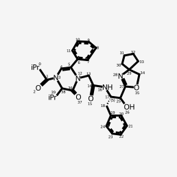 CC(C)C(=O)N1C=C(c2ccccc2)N(CC(=O)N[C@@H](Cc2ccccc2)C(O)C2=NC3(CCCC3)CO2)C(=O)C1C(C)C